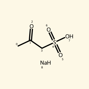 CC(=O)CS(=O)(=O)O.[NaH]